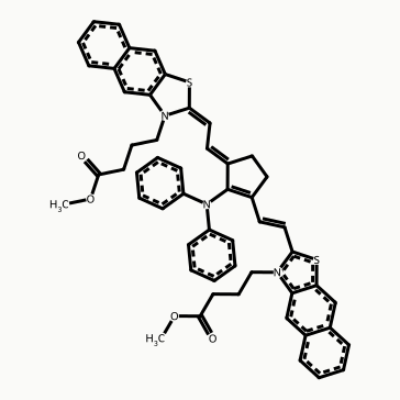 COC(=O)CCCN1C(=CC=C2CCC(C=Cc3sc4cc5ccccc5cc4[n+]3CCCC(=O)OC)=C2N(c2ccccc2)c2ccccc2)Sc2cc3ccccc3cc21